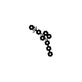 c1ccc(-c2ccc(-c3ccc(N(c4ccccc4)c4cccc5c4c4ccccc4n5-c4ccc(-c5nc6ccccc6s5)cc4)cc3)cc2)cc1